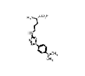 CN(C)c1ccc(-n2nnc(NCCC[C@H](N)C(=O)O)n2)cc1